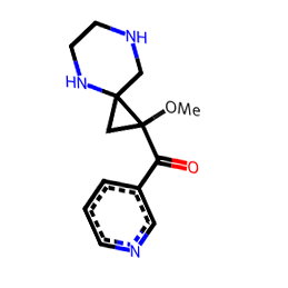 COC1(C(=O)c2cccnc2)CC12CNCCN2